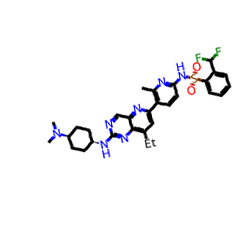 CCc1cc(-c2ccc(NS(=O)(=O)c3ccccc3C(F)F)nc2C)nc2cnc(N[C@H]3CC[C@H](N(C)C)CC3)nc12